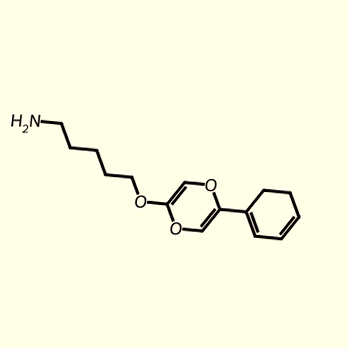 NCCCCCOC1=COC(C2=CC=CCC2)=CO1